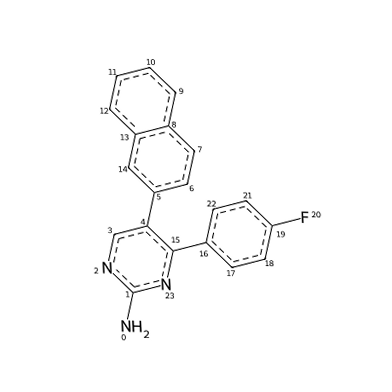 Nc1ncc(-c2ccc3ccccc3c2)c(-c2ccc(F)cc2)n1